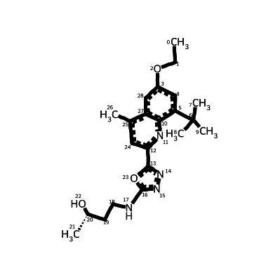 CCOc1cc(C(C)(C)C)c2nc(-c3nnc(NCC[C@H](C)O)o3)cc(C)c2c1